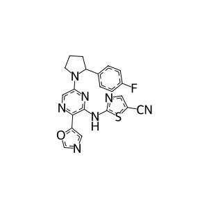 N#Cc1cnc(Nc2nc(N3CCCC3c3ccc(F)cc3)cnc2-c2cnco2)s1